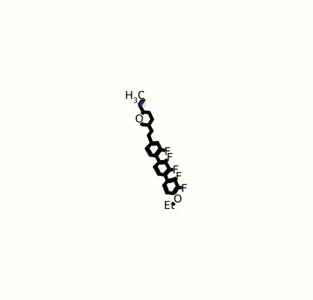 C/C=C/C1CCC(CCc2ccc(-c3ccc(-c4ccc(OCC)c(F)c4F)c(F)c3F)c(F)c2)CO1